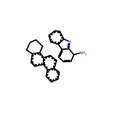 NC1C=CC=C2C1=Nc1ccccc12.c1ccc2c(c1)ccc1c3c(ccc12)CCCC3